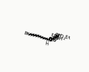 CCOC(=O)C(O)C(O)(CC)C(=O)OC(=O)c1ccc(NCCCCCCCCCCCCCCCCBr)cc1